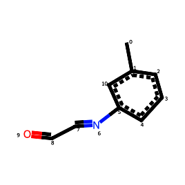 Cc1cccc(N=CC=O)c1